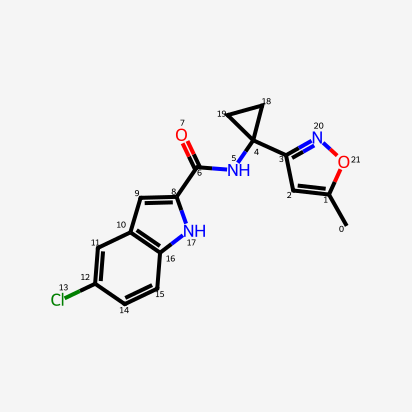 Cc1cc(C2(NC(=O)c3cc4cc(Cl)ccc4[nH]3)CC2)no1